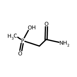 CP(=O)(O)CC(N)=O